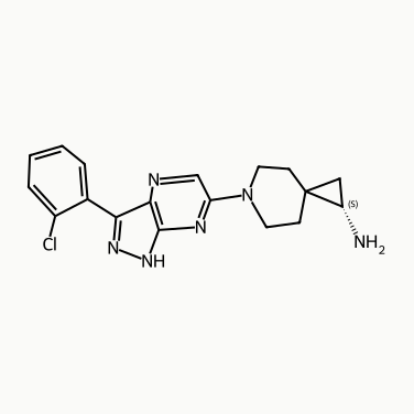 N[C@H]1CC12CCN(c1cnc3c(-c4ccccc4Cl)n[nH]c3n1)CC2